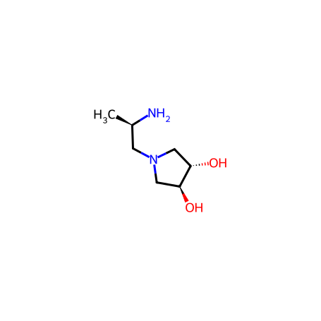 C[C@@H](N)CN1C[C@H](O)[C@@H](O)C1